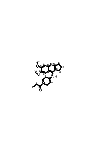 CCC(=O)N1CCC(Nc2c3c(nc4cc(OC)c(OC)cc24)CCC3)CC1